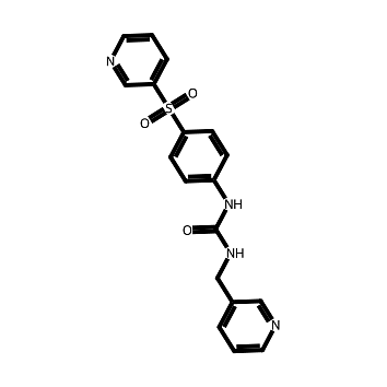 O=C(NCc1cccnc1)Nc1ccc(S(=O)(=O)c2cccnc2)cc1